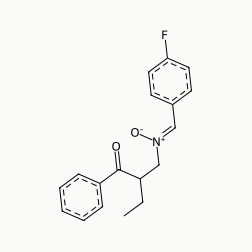 CCC(C[N+]([O-])=Cc1ccc(F)cc1)C(=O)c1ccccc1